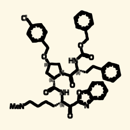 CNCCCC[C@H](NC(=O)[C@@H]1C[C@@H](OCc2ccc(Cl)cc2)CN1C(=O)[C@@H](CCc1ccccc1)NC(=O)OCc1ccccc1)C(=O)c1nc2ccccc2o1